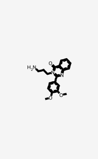 COc1ccc(-c2nc3ccccc3c(=O)n2CCCN)cc1OC